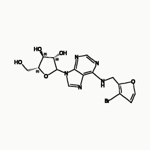 OC[C@H]1OC(n2cnc3c(NCc4occc4Br)ncnc32)[C@@H](O)[C@@H]1O